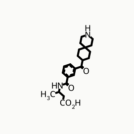 CC(CC(=O)O)NC(=O)c1cccc(C(=O)C2CCC3(CCNCC3)CC2)c1